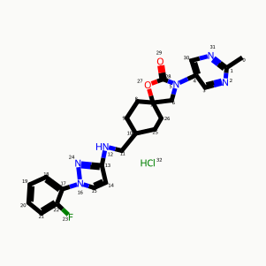 Cc1ncc(N2CC3(CCC(CNc4ccn(-c5ccccc5F)n4)CC3)OC2=O)cn1.Cl